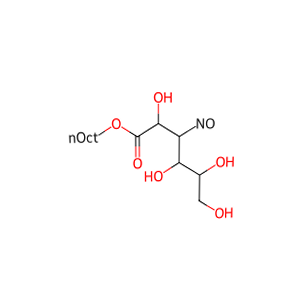 CCCCCCCCOC(=O)C(O)C(N=O)C(O)C(O)CO